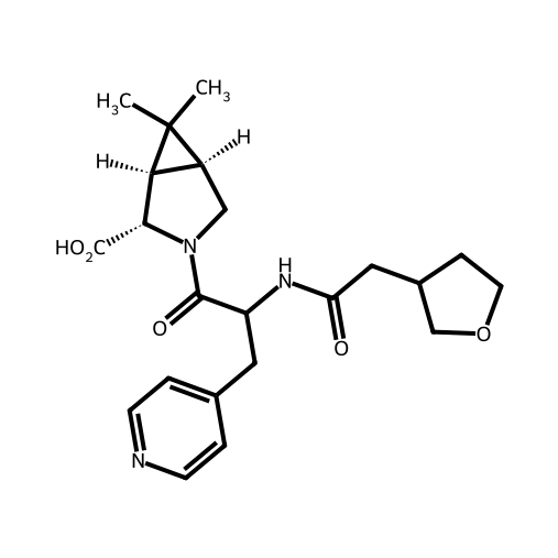 CC1(C)[C@@H]2[C@@H](C(=O)O)N(C(=O)C(Cc3ccncc3)NC(=O)CC3CCOC3)C[C@@H]21